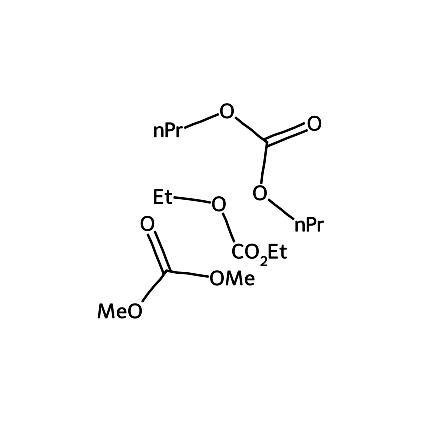 CCCOC(=O)OCCC.CCOC(=O)OCC.COC(=O)OC